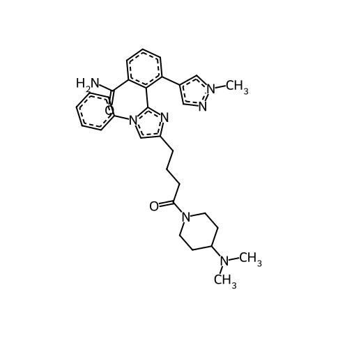 CN(C)C1CCN(C(=O)CCCc2cn(-c3ccccc3)c(-c3c(C(N)=O)cccc3-c3cnn(C)c3)n2)CC1